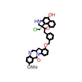 COc1ccc2c(c1)C(=O)N1c3cccc(OCc4cccc(CC(=O)[C@@]5(CCl)CNc6cc(O)c7ccccc7c65)c4)c3CC1C=N2